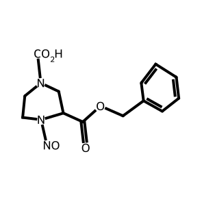 O=NN1CCN(C(=O)O)CC1C(=O)OCc1ccccc1